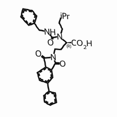 CC(C)CCN(C(=O)NCc1ccccc1)[C@H](CCN1C(=O)c2ccc(-c3ccccc3)cc2C1=O)C(=O)O